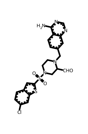 Nc1ncnc2cc(CN3CCN(S(=O)(=O)c4cc5ccc(Cl)cc5s4)CC3C=O)ccc12